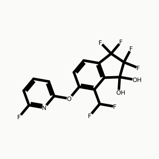 OC1(O)c2c(ccc(Oc3cccc(F)n3)c2C(F)F)C(F)(F)C1(F)F